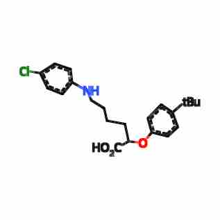 CC(C)(C)c1ccc(OC(CCCCNc2ccc(Cl)cc2)C(=O)O)cc1